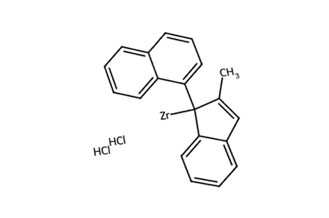 CC1=Cc2ccccc2[C]1([Zr])c1cccc2ccccc12.Cl.Cl